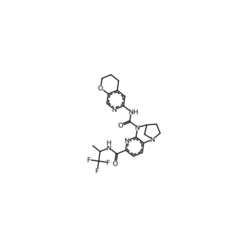 CC(NC(=O)c1ccc2c(n1)N(C(=O)Nc1cc3c(cn1)OCCC3)C1CCN2C1)C(F)(F)F